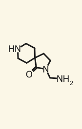 NCN1CCC2(CCNCC2)C1=O